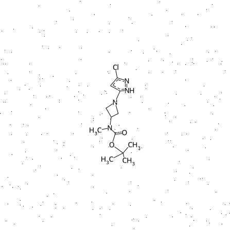 CN(C(=O)OC(C)(C)C)C1CN(c2cc(Cl)n[nH]2)C1